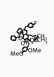 COc1ccc(CN2C(=O)c3c(c(CCC[Si](C)(C)C)c4cc(Cc5ccc(F)cc5)cnc4c3OC(c3ccccc3)c3ccccc3)C2O)c(OC)c1